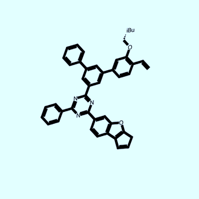 C=Cc1ccc(-c2cc(-c3ccccc3)cc(-c3nc(-c4ccccc4)nc(-c4ccc5c6c(oc5c4)CC=C6)n3)c2)cc1OC[C@@H](C)CC